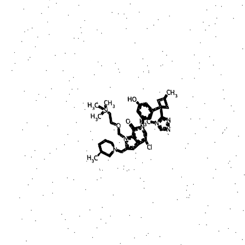 CC1CC(c2cc(O)cc(-n3cc(Cl)c4cc(CN5CCC[C@H](C)C5)n(COCC[Si](C)(C)C)c4c3=O)c2)(c2nncn2C)C1